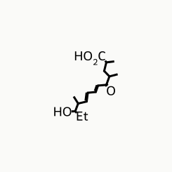 CCC(O)C(C)C=CC=CC(=O)C(C)CC(C)C(=O)O